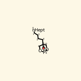 CCCCCCCCCCCC12COP(OC1)OC2